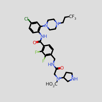 O=C(CN(C(=O)O)C1CCNC1)NCc1ccc(C(=O)Nc2ccc(Cl)cc2N2CCN(CCC(F)(F)F)CC2)c(F)c1F